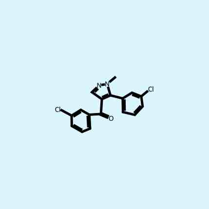 Cn1ncc(C(=O)c2cccc(Cl)c2)c1-c1cccc(Cl)c1